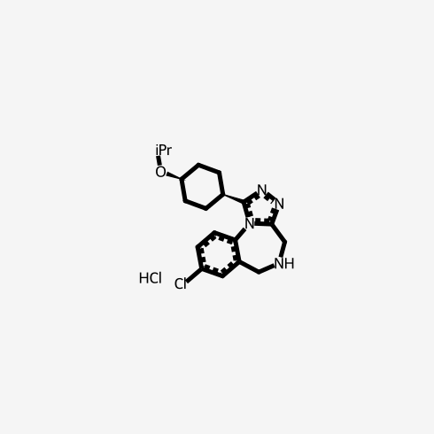 CC(C)O[C@H]1CC[C@@H](c2nnc3n2-c2ccc(Cl)cc2CNC3)CC1.Cl